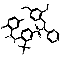 COc1ccc(CN(c2ccncn2)S(=O)(=O)c2ccc(N[C@@H](C)c3cc(F)ccc3F)c(C(F)(F)F)c2)c(OC)c1